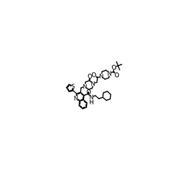 CC(C)(C)OC(=O)N1CCN(C(=O)CN2CCN(Cc3c(-c4cccs4)nc4ccccc4c3C(=O)NCCC3CCCCC3)CC2=O)CC1